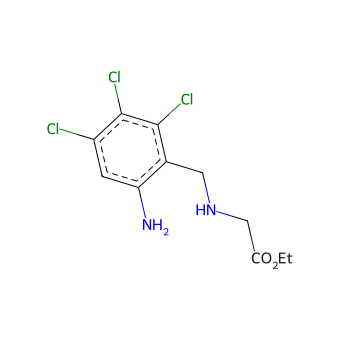 CCOC(=O)CNCc1c(N)cc(Cl)c(Cl)c1Cl